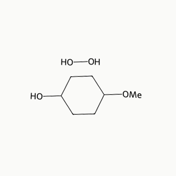 COC1CCC(O)CC1.OO